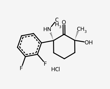 CN[C@@]1(c2cccc(F)c2F)CCC[C@](C)(O)C1=O.Cl